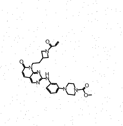 C=CC(=O)N1CC(CCn2c(=O)ccc3cnc(Nc4cccc(N5CCN(C(=O)OC)CC5)c4)nc32)C1